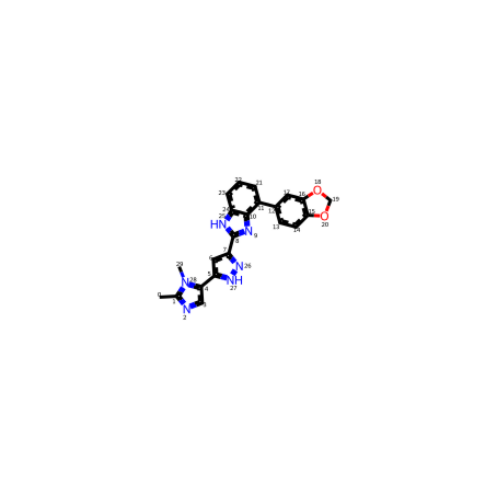 Cc1ncc(-c2cc(-c3nc4c(-c5ccc6c(c5)OCO6)cccc4[nH]3)n[nH]2)n1C